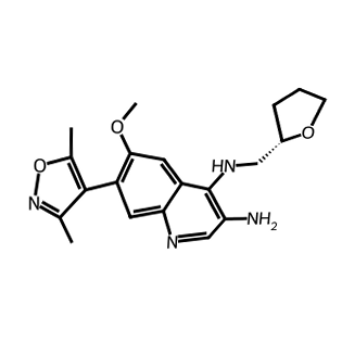 COc1cc2c(NC[C@@H]3CCCO3)c(N)cnc2cc1-c1c(C)noc1C